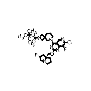 CC(C)(C)OC(=O)N1CC2(CCCN(c3nc(OC[C@@]45CCCN4C[C@H](F)C5)nc4c(F)c(Cl)ncc34)C2)C1